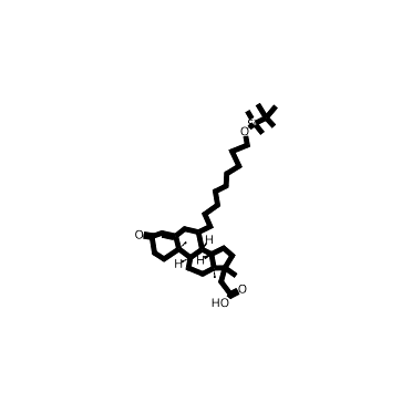 CC1(CC(=O)O)CC[C@H]2[C@@H]3C(CCCCCCCCCO[Si](C)(C)C(C)(C)C)CC4=CC(=O)CC[C@]4(C)[C@@H]3CC[C@@]21C